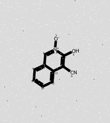 N#Cc1c(O)[n+]([O-])cc2ccccc12